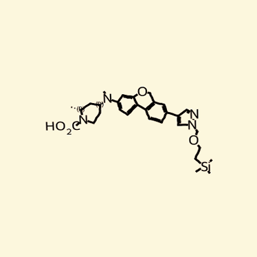 C[C@@H]1C[C@H](N(C)c2ccc3c(c2)OCc2cc(-c4cnn(COCC[Si](C)(C)C)c4)ccc2-3)CCN1C(=O)O